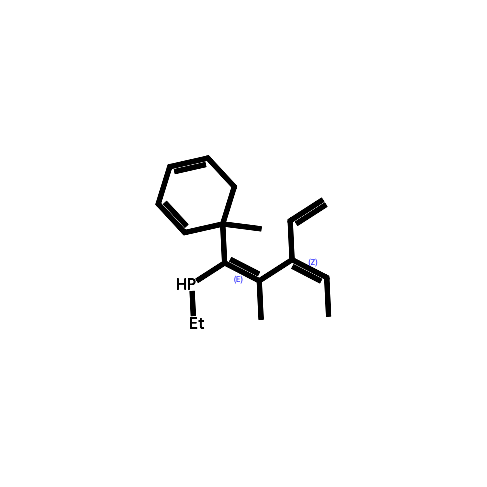 C=CC(=C/C)/C(C)=C(/PCC)C1(C)C=CC=CC1